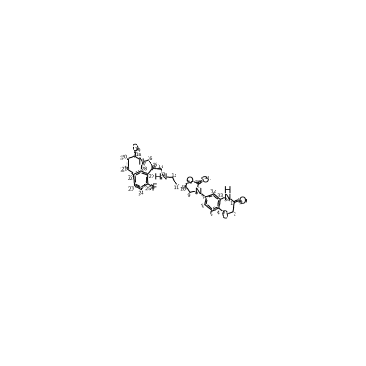 O=C1COc2ccc(N3C[C@H](CCNC[C@@H]4CN5C(=O)CCc6ccc(F)c4c65)OC3=O)cc2N1